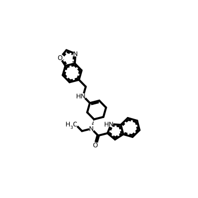 CCN(C(=O)c1cc2ccccc2[nH]1)[C@H]1CCC=C(NCc2ccc3ocnc3c2)C1